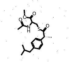 COC(=O)C(CSC(=O)[C@H](C)c1ccc(CC(C)C)cc1)NC(C)=O